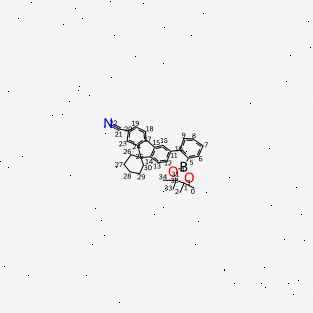 CC1(C)OB(c2ccccc2-c2ccc3c(c2)-c2ccc(C#N)cc2C32CCCCC2)OC1(C)C